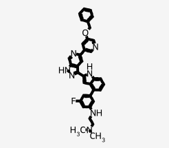 CN(C)CCNc1cc(F)cc(-c2cccc3[nH]c(-c4n[nH]c5cnc(-c6cncc(OCc7ccccc7)c6)cc45)cc23)c1